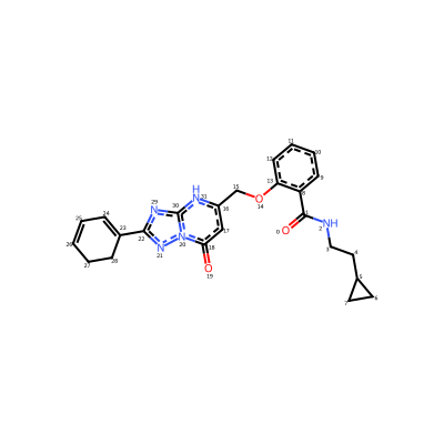 O=C(NCCC1CC1)c1ccccc1OCc1cc(=O)n2nc(C3=CC=CCC3)nc2[nH]1